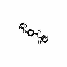 O=C(NC1CN2CC[C@H]1C2)c1ccc(Oc2ncco2)cc1